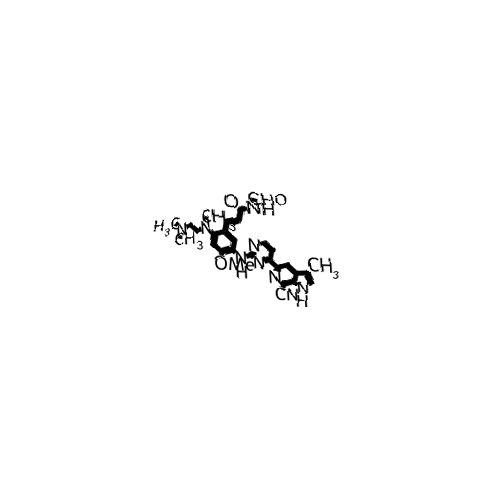 COc1cc(N(C)CCN(C)C)c(C=CC(=O)NC=O)cc1Nc1nccc(-c2cc3c(C)c[nH]c3c(C#N)n2)n1